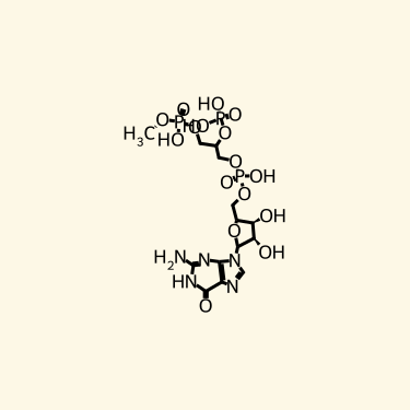 COP(=O)(O)OCC(COP(=O)(O)OCC1OC(n2cnc3c(=O)[nH]c(N)nc32)[C@H](O)[C@@H]1O)OP(=O)(O)O